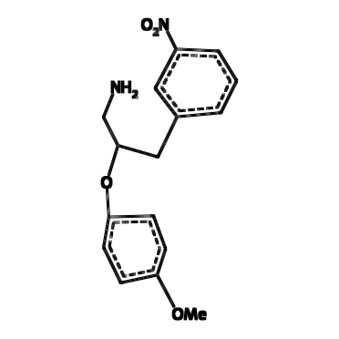 COc1ccc(OC(CN)Cc2cccc([N+](=O)[O-])c2)cc1